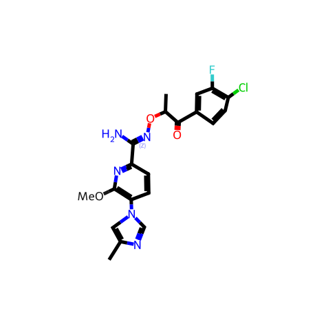 COc1nc(/C(N)=N/OC(C)C(=O)c2ccc(Cl)c(F)c2)ccc1-n1cnc(C)c1